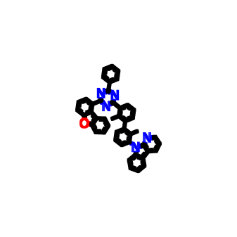 Cc1c(-c2nc(-c3ccccc3)nc(-c3cccc4oc5ccccc5c34)n2)cccc1-c1cccc(-n2c3ccccc3c3cccnc32)c1C